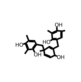 Cc1cc(CC2=CC(C)(Cc3cc(C)c(O)c(C)c3O)C=CC2O)c(O)c(C)c1O